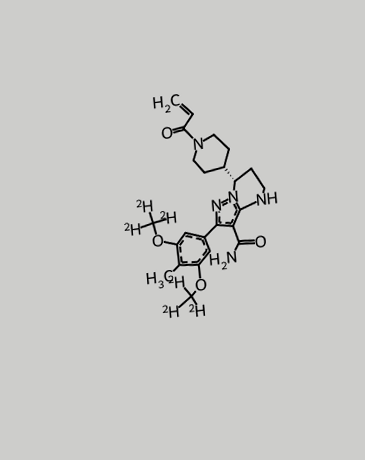 [2H]C([2H])([2H])Oc1cc(-c2nn3c(c2C(N)=O)NCC[C@H]3C2CCN(C(=O)C=C)CC2)cc(OC([2H])([2H])[2H])c1C